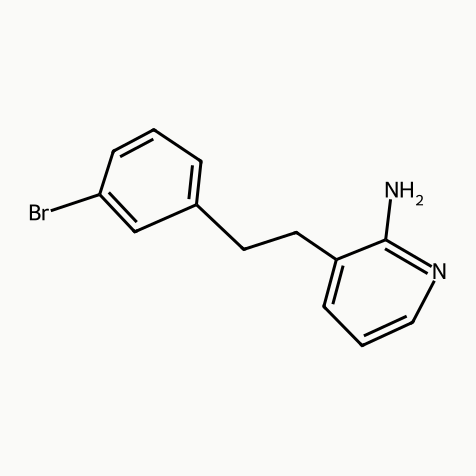 Nc1ncccc1CCc1cccc(Br)c1